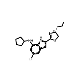 Clc1cc(NC2CCCC2)c2[nH]c(C3=N[C@H](CCI)CS3)cc2c1